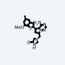 COc1cc(C)cc2cc(-c3cc(CN4CNC(=O)C4)n4ncnc(N)c34)sc12